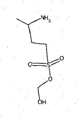 CC(N)CCS(=O)(=O)OCO